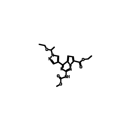 CCOC(=O)c1ccc2c(-c3cnn(C(C)OCC)c3)nc(NC(=O)OC)nn12